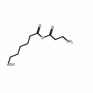 CCCCCCCCCCCCCC(=O)OC(=O)CCN